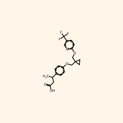 CC(CC(=O)O)c1ccc(OCC2(COc3ccc(C(F)(F)F)cn3)CC2)cc1